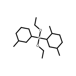 CCO[Si](OCC)(C1CCCC(C)C1)C1CC(C)CCC1C